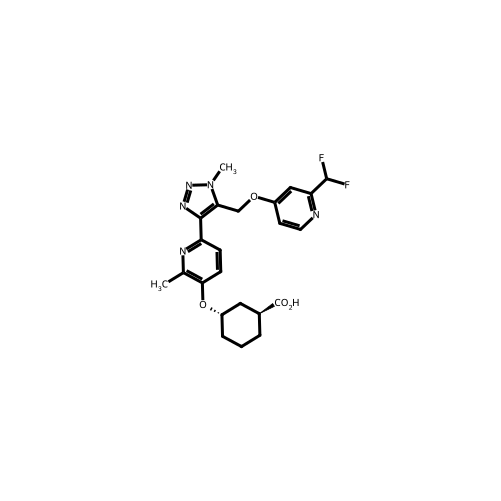 Cc1nc(-c2nnn(C)c2COc2ccnc(C(F)F)c2)ccc1O[C@H]1CCC[C@H](C(=O)O)C1